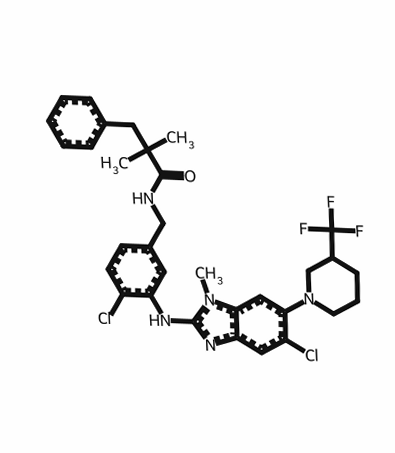 Cn1c(Nc2cc(CNC(=O)C(C)(C)Cc3ccccc3)ccc2Cl)nc2cc(Cl)c(N3CCCC(C(F)(F)F)C3)cc21